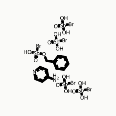 Nc1ccncc1.[O]=[Sb]([OH])([Br])[O]Cc1ccccc1.[O]=[Sb]([OH])([OH])[Br].[O]=[Sb]([OH])([OH])[Br].[O]=[Sb]([OH])([OH])[Br].[O]=[Sb]([OH])([OH])[Br]